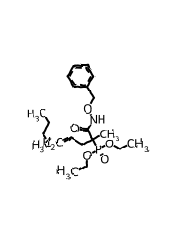 C=CCC(C)(C(=O)NOCc1ccccc1)P(=O)(OCC)OCC.CCCC